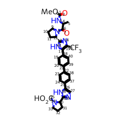 COC(=O)NC(C)C(=O)N1CCC[C@H]1c1nc(C(F)(F)F)c(-c2ccc(-c3ccc(-c4cnc(C5CCCN5C(=O)O)[nH]4)cc3)cc2)[nH]1